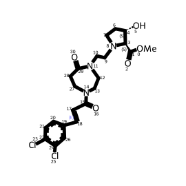 COC(=O)[C@@H]1[C@@H](O)CCN1CCN1CCN(C(=O)/C=C/c2ccc(Cl)c(Cl)c2)CCC1=O